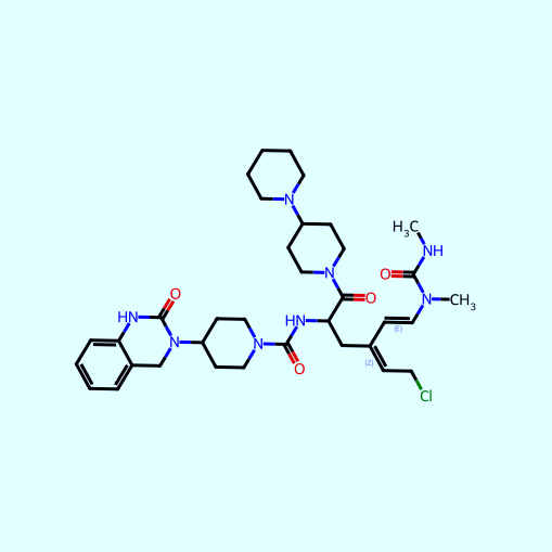 CNC(=O)N(C)/C=C/C(=C\CCl)CC(NC(=O)N1CCC(N2Cc3ccccc3NC2=O)CC1)C(=O)N1CCC(N2CCCCC2)CC1